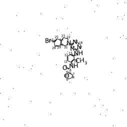 Cc1c(NC(=O)[C@@H]2CCCO2)cccc1Nc1ncnc(N2CCc3cc(Br)ccc3C2)n1